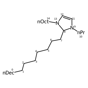 CCCCCCCCCCCCCCCCCC1N(CCC)C=CN1CCCCCCCC